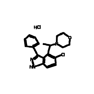 CC(c1c(Cl)ccc2[nH]nc(-c3ccccc3)c12)N1CCOCC1.Cl